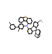 Cc1cccc(-c2ccc(N(c3cccc4c3-c3ccc(C(F)(F)F)cc3C43C4CC5CC(C4)CC3C5)c3cccc4sc5ccccc5c34)cc2C)c1